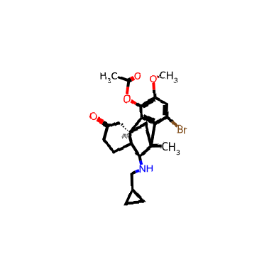 COc1cc(Br)c2c(c1OC(C)=O)[C@]13CC(=O)CCC1C(NCC1CC1)C2(C)C3